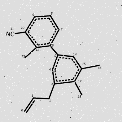 C=CCc1cc(-c2cccc(C#N)c2C)cc(C)c1C